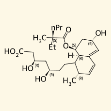 CCC[C@](C)(CC)C(=O)O[C@H]1C[C@H](O)C=C2C=C[C@H](C)C(CC[C@@H](O)C[C@@H](O)CC(=O)O)[C@H]21